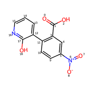 O=C(O)c1cc([N+](=O)[O-])ccc1-c1cccnc1O